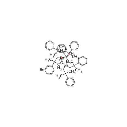 CC(C)([CH2][Sn]([CH2]C(C)(C)c1ccccc1)([CH2]C(C)(C)c1ccccc1)[O][Sn]([CH2]C(C)(C)c1ccccc1)([CH2]C(C)(C)c1ccccc1)[CH2]C(C)(C)c1ccccc1)c1ccccc1.[Re]